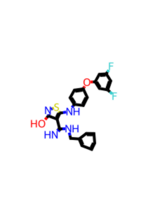 N=C(NCc1ccccc1)c1c(O)nsc1Nc1ccc(Oc2cc(F)cc(F)c2)cc1